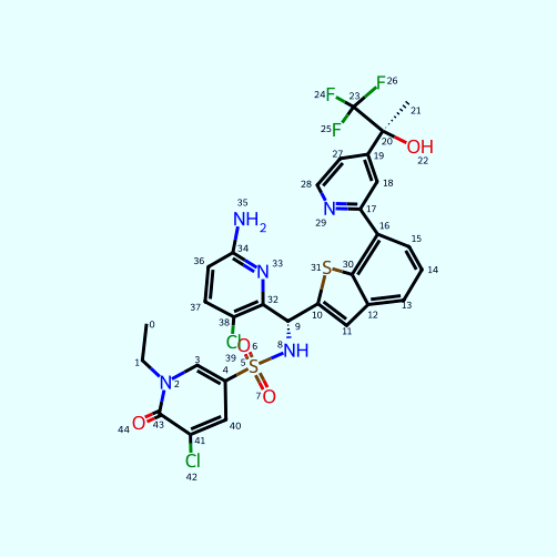 CCn1cc(S(=O)(=O)N[C@@H](c2cc3cccc(-c4cc([C@](C)(O)C(F)(F)F)ccn4)c3s2)c2nc(N)ccc2Cl)cc(Cl)c1=O